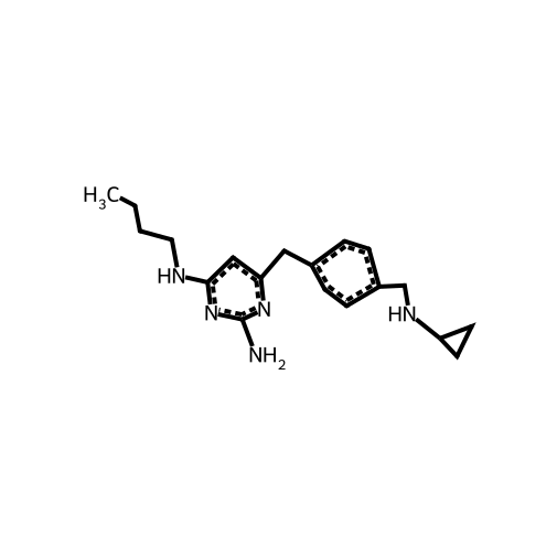 CCCCNc1cc(Cc2ccc(CNC3CC3)cc2)nc(N)n1